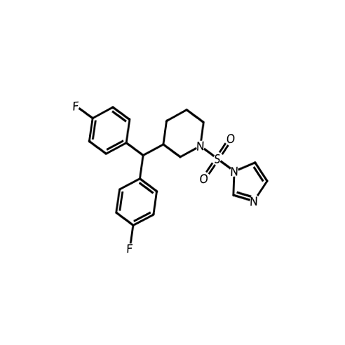 O=S(=O)(N1CCCC(C(c2ccc(F)cc2)c2ccc(F)cc2)C1)n1ccnc1